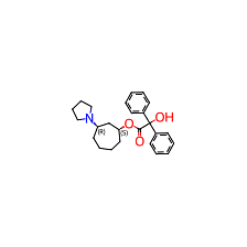 O=C(O[C@H]1CCCC[C@@H](N2CCCC2)C1)C(O)(c1ccccc1)c1ccccc1